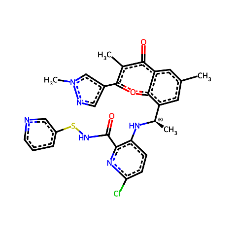 Cc1cc([C@@H](C)Nc2ccc(Cl)nc2C(=O)NSc2cccnc2)c2oc(-c3cnn(C)c3)c(C)c(=O)c2c1